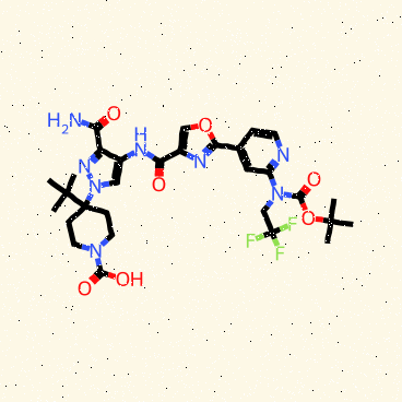 CC(C)(C)OC(=O)N(CC(F)(F)F)c1cc(-c2nc(C(=O)Nc3cn(C4(C(C)(C)C)CCN(C(=O)O)CC4)nc3C(N)=O)co2)ccn1